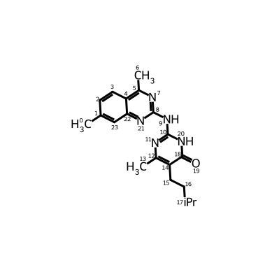 Cc1ccc2c(C)nc(Nc3nc(C)c(CCC(C)C)c(=O)[nH]3)nc2c1